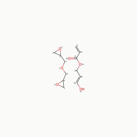 C(OCC1CO1)C1CO1.C=CC(=O)OCC=CO